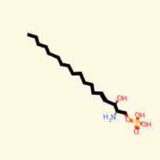 CCCCCCCCCCCCC/C=C/[C@@H](O)[C@@H](N)CO[32P](=O)(O)O